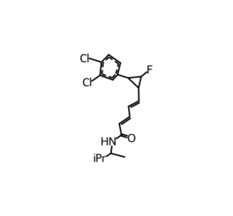 CC(C)C(C)NC(=O)C=CC=CC1C(F)C1c1ccc(Cl)c(Cl)c1